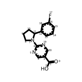 O=C(O)c1cnc(N2CCCC2c2cccc(F)c2)nc1